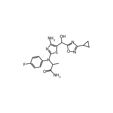 CC(C(N)=O)N(c1ccc(F)cc1)c1nc(N)c(C(O)c2nc(C3CC3)no2)s1